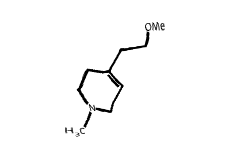 COCCC1=CCN(C)CC1